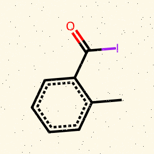 Cc1ccccc1C(=O)I